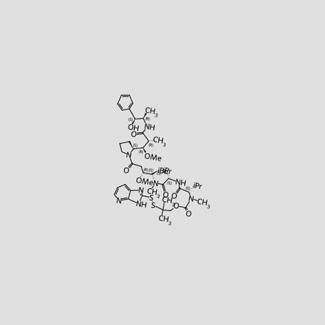 CC[C@H](C)[C@@H]([C@@H](CC(=O)N1CCC[C@H]1[C@H](OC)[C@@H](C)C(=O)N[C@H](C)[C@@H](O)c1ccccc1)OC)N(C)C(=O)[C@@H](NC(=O)[C@H](C(C)C)N(C)C(=O)OCC(C)(C)SSc1nc2cccnc2[nH]1)C(C)C